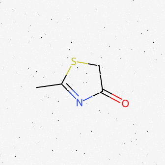 CC1=NC(=O)CS1